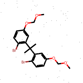 COCOc1ccc(Br)c(C(C)(C)c2cc(OCOC)ccc2Br)c1